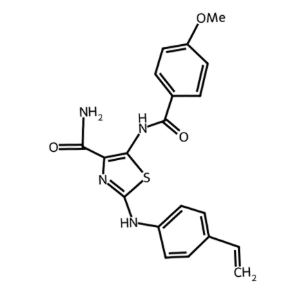 C=Cc1ccc(Nc2nc(C(N)=O)c(NC(=O)c3ccc(OC)cc3)s2)cc1